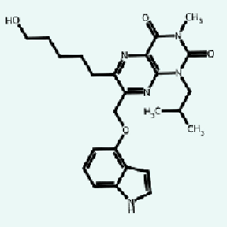 CC(C)Cn1c(=O)n(C)c(=O)c2nc(CCCCCO)c(COc3cccc4[nH]ccc34)nc21